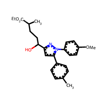 CCOC(=O)C(C)CCC(O)c1cc(-c2ccc(C)cc2)n(-c2ccc(OC)cc2)n1